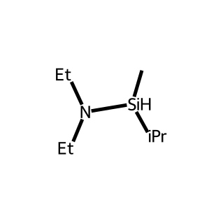 CCN(CC)[SiH](C)C(C)C